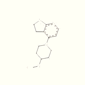 O=CNC1CCN(c2ccnc3c2CCN3)CC1